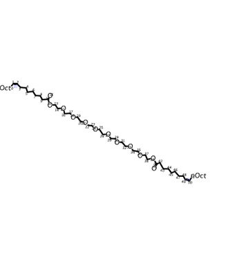 CCCCCCCC/C=C\CCCCCCCC(=O)OCCOCCOCCOCCOCCOCCOCCOCCOCCOC(=O)CCCCCCC/C=C\CCCCCCCC